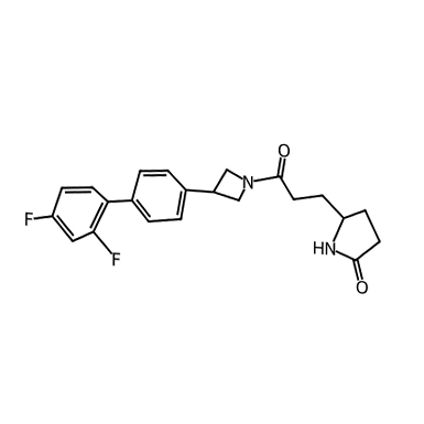 O=C1CCC(CCC(=O)N2CC(c3ccc(-c4ccc(F)cc4F)cc3)C2)N1